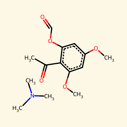 CN(C)C.COc1cc(OC)c(C(C)=O)c(OC=O)c1